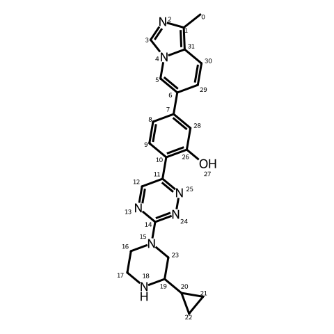 Cc1ncn2cc(-c3ccc(-c4cnc(N5CCNC(C6CC6)C5)nn4)c(O)c3)ccc12